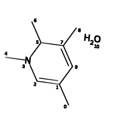 CC1=CN(C)C(C)C(C)=C1.O